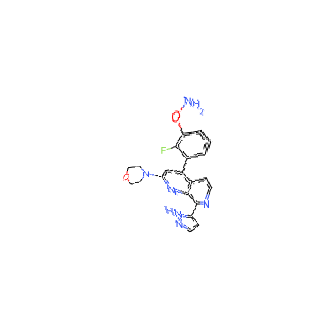 NOc1cccc(-c2cc(N3CCOCC3)nc3c(-c4ccn[nH]4)nccc23)c1F